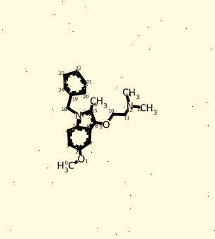 COc1ccc2c(c1)c(OCCN(C)C)c(C)n2Cc1ccccc1